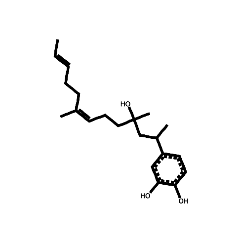 CC=CCCC(C)=CCCC(C)(O)CC(C)c1ccc(O)c(O)c1